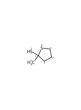 CC1(S)CCCS1